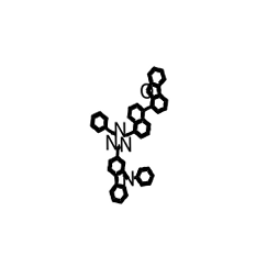 c1ccc(-c2nc(-c3ccc4c5ccccc5n(-c5ccccc5)c4c3)nc(-c3cccc4c(-c5cccc6c5oc5ccccc56)cccc34)n2)cc1